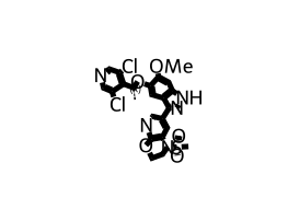 COc1cc2[nH]nc(-c3cnc4c(c3)N(S(C)(=O)=O)CCO4)c2cc1O[C@H](C)c1c(Cl)cncc1Cl